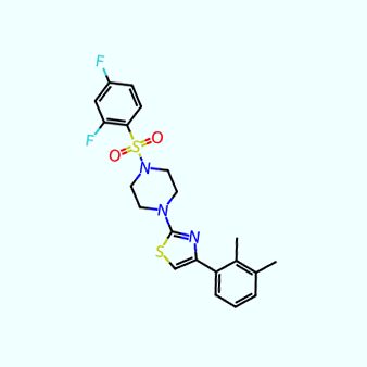 Cc1cccc(-c2csc(N3CCN(S(=O)(=O)c4ccc(F)cc4F)CC3)n2)c1C